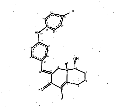 CC1=C2CCC[C@H](O)[C@@]2(C)C/C(=C\c2ccc(Nc3ccc(I)cc3)cc2)C1=O